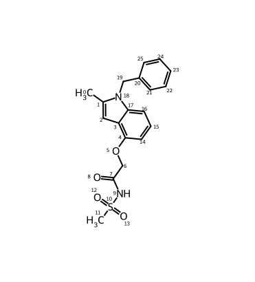 Cc1cc2c(OCC(=O)NS(C)(=O)=O)cccc2n1Cc1ccccc1